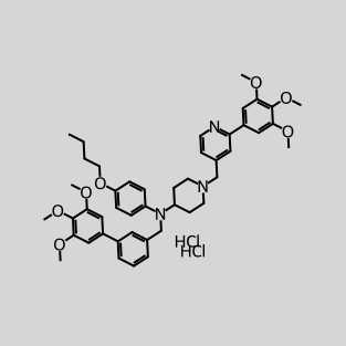 CCCCOc1ccc(N(Cc2cccc(-c3cc(OC)c(OC)c(OC)c3)c2)C2CCN(Cc3ccnc(-c4cc(OC)c(OC)c(OC)c4)c3)CC2)cc1.Cl.Cl